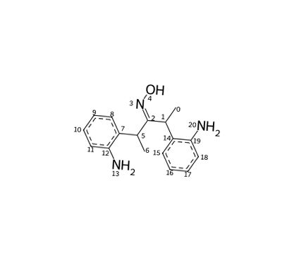 CC(C(=NO)C(C)c1ccccc1N)c1ccccc1N